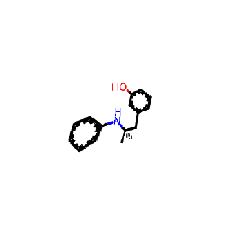 C[C@H](Cc1cccc(O)c1)Nc1ccccc1